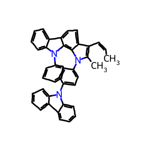 C/C=C\c1c(C)n(-c2ccc(-n3c4ccccc4c4ccccc43)cc2)c2c1ccc1c3ccccc3n(-c3ccccc3)c12